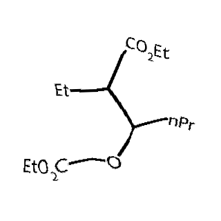 CCCC(OC(=O)OCC)C(CC)C(=O)OCC